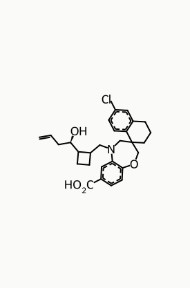 C=CC[C@@H](O)C1CCC1CN1CC2(CCCc3cc(Cl)ccc32)COc2ccc(C(=O)O)cc21